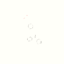 CCOc1ccc(C(=CCSc2ccc(OCC(=O)O)cc2)c2ccc(OCC)cc2)cc1